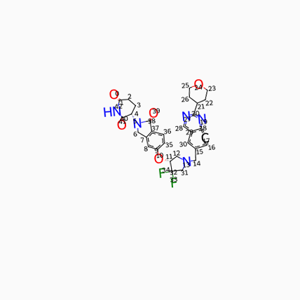 O=C1CC[C@H](N2Cc3cc(O[C@@H]4CN(Cc5ccc6nc(C7CCOCC7)ncc6c5)CC4(F)F)ccc3C2=O)C(=O)N1